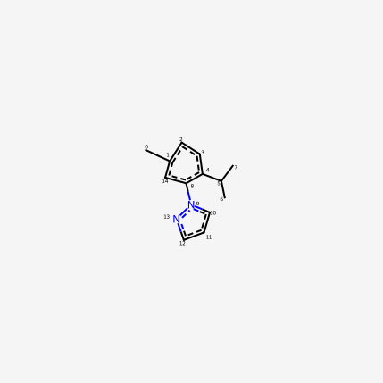 Cc1ccc(C(C)C)c(-n2cccn2)c1